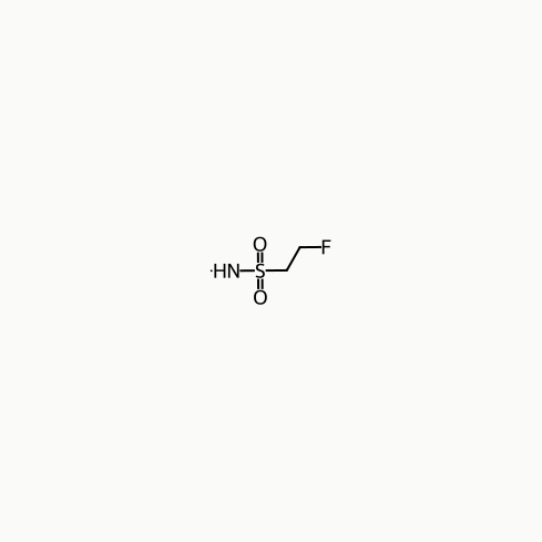 [NH]S(=O)(=O)CCF